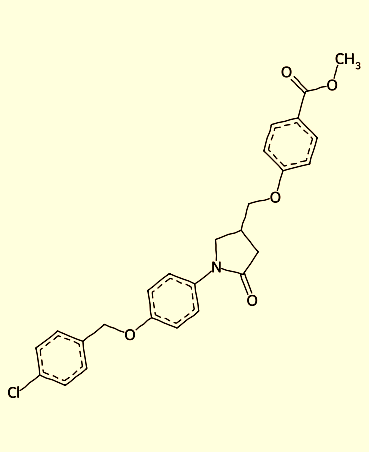 COC(=O)c1ccc(OCC2CC(=O)N(c3ccc(OCc4ccc(Cl)cc4)cc3)C2)cc1